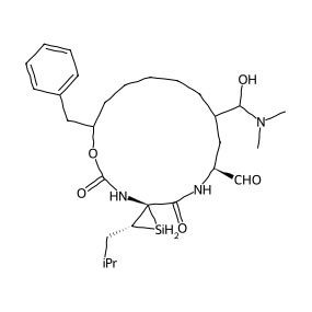 CC(C)C[C@H]1[SiH2][C@]12NC(=O)OC(Cc1ccccc1)CCCCCC(C(O)N(C)C)C[C@@H](C=O)NC2=O